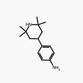 CC1(C)CC(c2ccc(N)cc2)CC(C)(C)N1